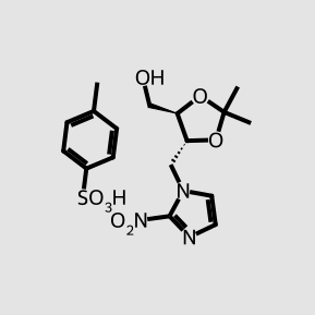 CC1(C)O[C@H](CO)[C@@H](Cn2ccnc2[N+](=O)[O-])O1.Cc1ccc(S(=O)(=O)O)cc1